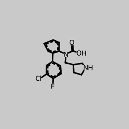 O=C(O)N(CC1CCNC1)c1ccccc1-c1ccc(F)c(Cl)c1